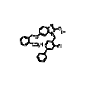 CCOc1nc2ccc(OCc3ccccc3C(=O)O)cc2n1Cc1ccc(-c2ccccc2)cc1Cl